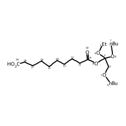 CCCCOCC(OCC)(OCCCC)OC(=O)CCCCCCCCC(=O)O